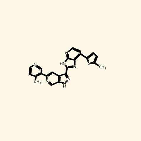 Cc1ccc(-c2ccnc3[nH]c(-c4n[nH]c5cnc(-c6cnccc6C)cc45)nc23)s1